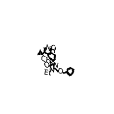 CCn1c(COCc2ccccc2)nn(-c2ccc3c(=O)[nH]cc(C4(C)CC4)c3c2)c1=O